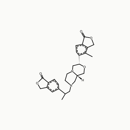 Cc1c([C@H]2CN3CCN(CC(C)c4ccc5c(c4)COC5=O)C[C@H]3CO2)ccc2c1COC2=O